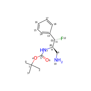 CC(C)(C)OC(=O)N[C@H](CN)[C@@H](F)c1ccccc1